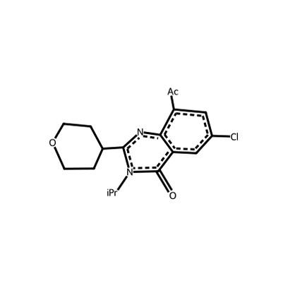 CC(=O)c1cc(Cl)cc2c(=O)n(C(C)C)c(C3CCOCC3)nc12